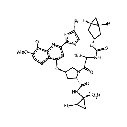 CC[C@@H]1C[C@]1(NC(=O)[C@@H]1C[C@@H](Oc2cc(-c3nc(C(C)C)cs3)nc3c(Cl)c(OC)ccc23)CN1C(=O)C(NC(=O)O[C@@H]1C[C@@H]2C[C@@H]2C1)C(C)(C)C)C(=O)O